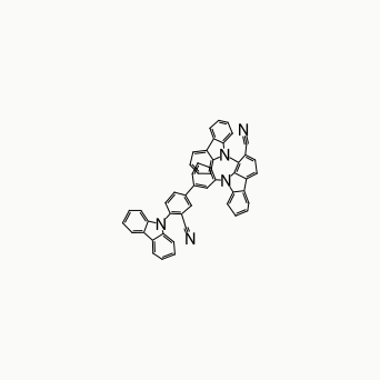 N#Cc1cc(-c2cccc(-n3c4ccccc4c4ccc(C#N)c(-n5c6ccccc6c6ccccc65)c43)c2)ccc1-n1c2ccccc2c2ccccc21